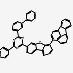 c1ccc(-c2cccc(-c3nc(-c4ccccc4)nc(-c4ccc5c(c4)oc4c(-c6ccc7c8c(cccc68)-c6ccccc6-7)cccc45)n3)c2)cc1